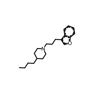 CCCCC1CCN(CCCc2coc3ccccc23)CC1